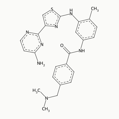 Cc1ccc(NC(=O)c2ccc(CN(C)C)cc2)cc1Nc1nc(-c2nccc(N)n2)cs1